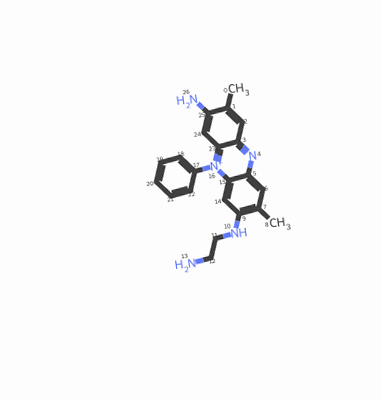 Cc1cc2nc3cc(C)c(NCCN)cc3[n+](-c3ccccc3)c2cc1N